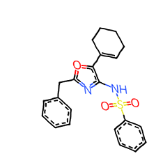 O=S(=O)(Nc1nc(Cc2ccccc2)oc1C1=CCCCC1)c1ccccc1